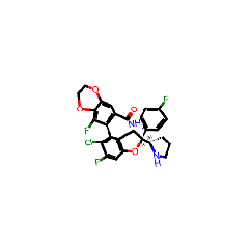 NC(=O)c1cc2c(c(F)c1-c1c(Cl)c(F)cc3c1C[C@](c1ccc(F)cc1)([C@@H]1CCCN1)O3)OCCO2